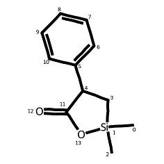 C[Si]1(C)CC(c2ccccc2)C(=O)O1